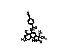 CCc1c2c(cc(NC(=O)c3ccc(C#N)cc3)c1[N+](=O)[O-])C(C)(C)C(=O)N2